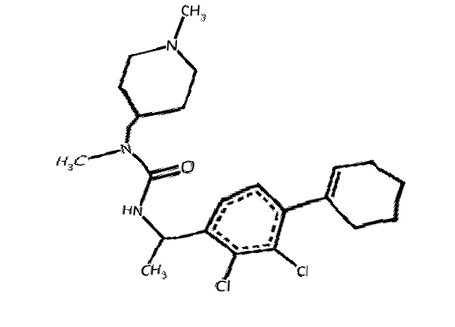 CC(NC(=O)N(C)C1CCN(C)CC1)c1ccc(C2=CCCCC2)c(Cl)c1Cl